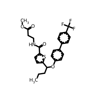 CCCC(Oc1ccc(-c2ccc(C(F)(F)F)cc2)cc1)c1ccc(C(=O)NCCC(=O)OC)s1